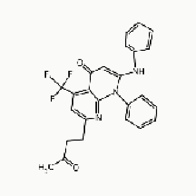 CC(=O)CCc1cc(C(F)(F)F)c2c(=O)cc(Nc3ccccc3)n(-c3ccccc3)c2n1